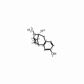 CN1[C@H]2Cc3ccc(O)cc3[C@@]34CCCC1(C3)C24